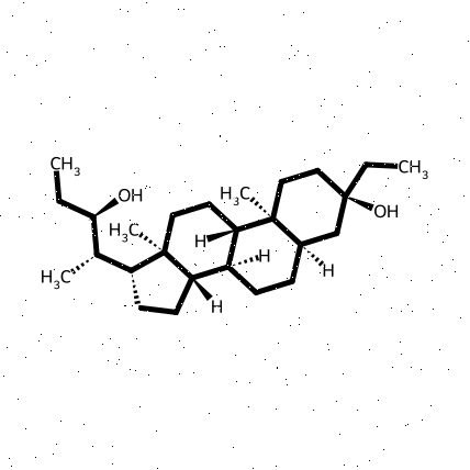 CC[C@@H](O)[C@@H](C)[C@H]1CC[C@H]2[C@@H]3CC[C@@H]4C[C@@](O)(CC)CC[C@]4(C)[C@H]3CC[C@]12C